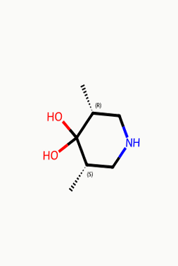 C[C@@H]1CNC[C@H](C)C1(O)O